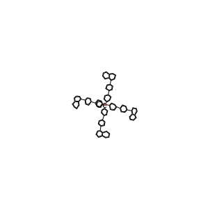 c1ccc2c(-c3ccc(-c4cc[c]([Ge]([c]5ccc(-c6ccc(-c7cccc8ccccc78)cc6)cc5)([c]5ccc(-c6ccc(-c7cccc8ccccc78)cc6)cc5)[c]5ccc(-c6ccc(-c7cccc8ccccc78)cc6)cc5)cc4)cc3)cccc2c1